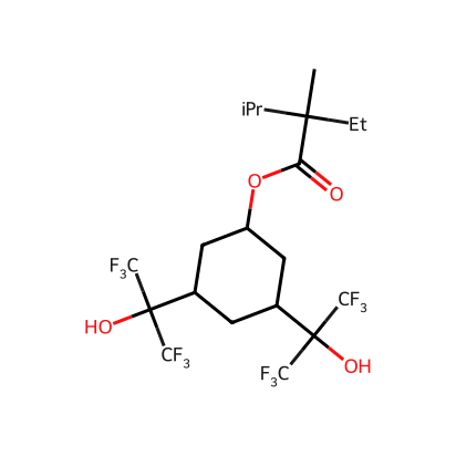 CCC(C)(C(=O)OC1CC(C(O)(C(F)(F)F)C(F)(F)F)CC(C(O)(C(F)(F)F)C(F)(F)F)C1)C(C)C